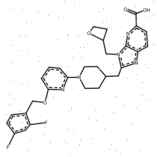 O=C(O)c1ccc2nc(CC3CCN(c4cccc(OCc5ccc(F)cc5F)n4)CC3)n(CC3CCO3)c2n1